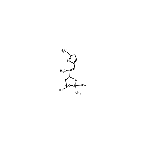 C/C(=C\c1csc(C)n1)[C@H](CCO)O[Si](C)(C)C(C)(C)C